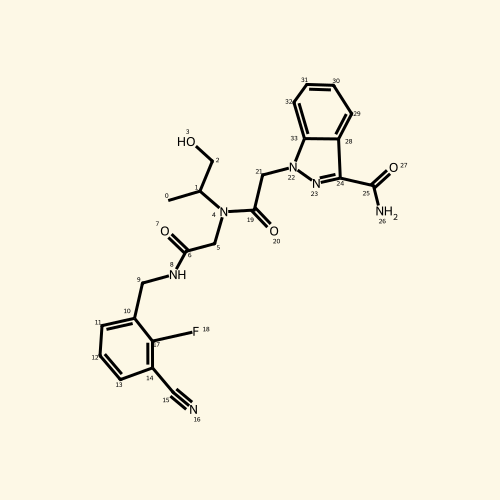 CC(CO)N(CC(=O)NCc1cccc(C#N)c1F)C(=O)Cn1nc(C(N)=O)c2ccccc21